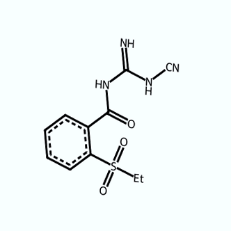 CCS(=O)(=O)c1ccccc1C(=O)NC(=N)NC#N